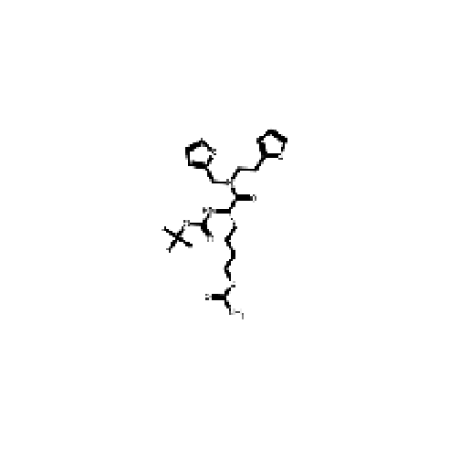 CC(C)(C)OC(=O)N[C@@H](CCCCOC(N)=O)C(=O)N(CCc1cccs1)Cc1cccs1